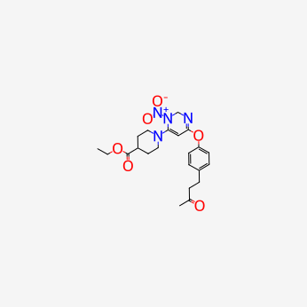 CCOC(=O)C1CCN(C2=CC(Oc3ccc(CCC(C)=O)cc3)=NCN2[N+](=O)[O-])CC1